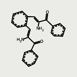 NC(=Cc1ccccc1C=C(N)C(=O)c1ccccc1)C(=O)c1ccccc1